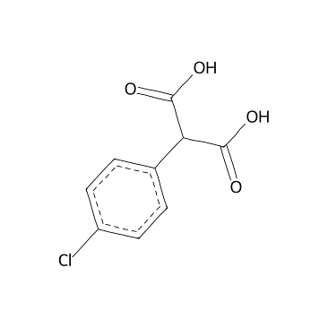 O=C(O)C(C(=O)O)c1ccc(Cl)cc1